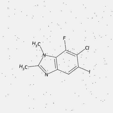 Cc1nc2cc(I)c(Cl)c(F)c2n1C